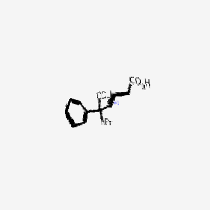 CCCC(/C=C/CC(=O)O)(C(=O)O)c1ccccc1